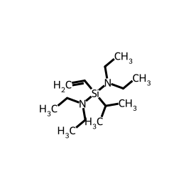 C=C[Si](C(C)C)(N(CC)CC)N(CC)CC